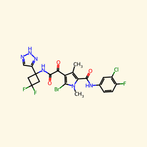 Cc1c(C(=O)C(=O)NC2(c3cn[nH]n3)CC(F)(F)C2)c(Br)n(C)c1C(=O)Nc1ccc(F)c(Cl)c1